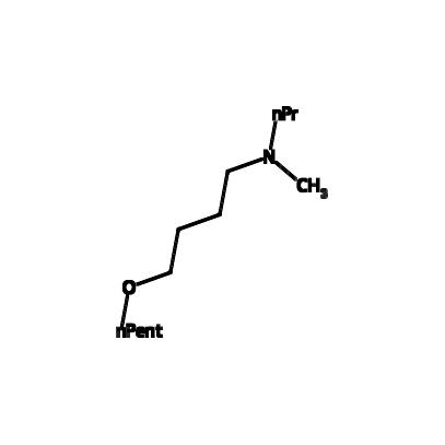 CCCCCOCCCCN(C)CCC